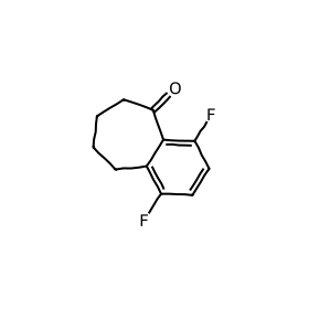 O=C1CCCCc2c(F)ccc(F)c21